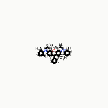 CCCCC(CC)CN(c1ccc2c(-c3ccccc3S(=O)(=O)O)c3cc/c(=[N+](/CC(CC)CCCC)c4c(C)cccc4C)cc-3oc2c1)c1c(C)cccc1C